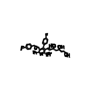 CC(C)c1nc(C(C)C)c(COCc2ccc(F)cc2)c(-c2ccc(F)cc2)c1C=C[C@@H](O)C[C@@H](O)CCO